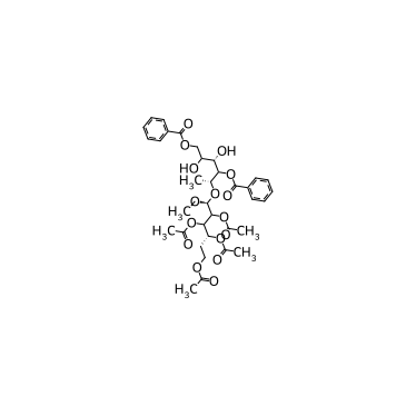 CO[C@@H](O[C@H](C)C(OC(=O)c1ccccc1)[C@@H](O)C(O)COC(=O)c1ccccc1)C(OC(C)=O)C(OC(C)=O)[C@@H](CCOC(C)=O)OC(C)=O